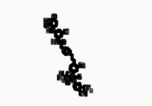 CCc1cc(N2C(=S)N(c3ccc(C#N)c(C(F)(F)F)c3)C(=O)C2(C)C)ccc1CCCN1CCN(CC(=O)Nc2cc(Cl)cc(NC3CCC(=O)NC3=O)c2)CC1